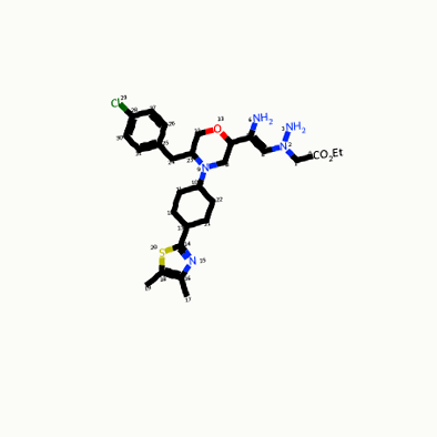 CCOC(=O)CN(N)/C=C(\N)C1CN(C2CCC(c3nc(C)c(C)s3)CC2)C(Cc2ccc(Cl)cc2)CO1